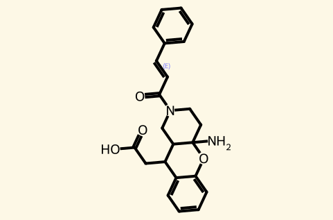 NC12CCN(C(=O)/C=C/c3ccccc3)CC1C(CC(=O)O)c1ccccc1O2